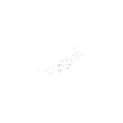 [2H]C([2H])(NC(=O)OC(C)(C)C)C([2H])([2H])OS(=O)(=O)c1ccc(C)cc1